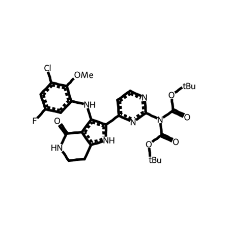 COc1c(Cl)cc(F)cc1Nc1c(-c2ccnc(N(C(=O)OC(C)(C)C)C(=O)OC(C)(C)C)n2)[nH]c2c1C(=O)NCC2